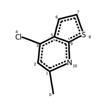 Cc1cc(Cl)c2ccsc2n1